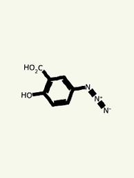 [N-]=[N+]=Nc1ccc(O)c(C(=O)O)c1